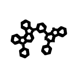 c1ccc(-c2nc(-c3cccc(-n4c5ccccc5c5c6c7ccccc7n(-c7ccccc7)c6ccc54)c3)c3sc4ccccc4c3n2)cc1